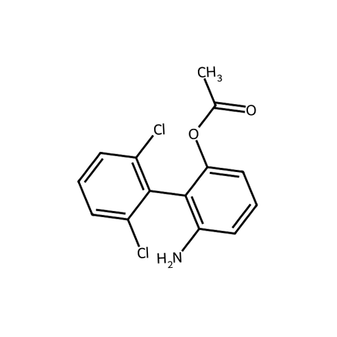 CC(=O)Oc1cccc(N)c1-c1c(Cl)cccc1Cl